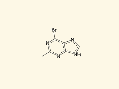 Cc1nc(Br)c2nc[nH]c2n1